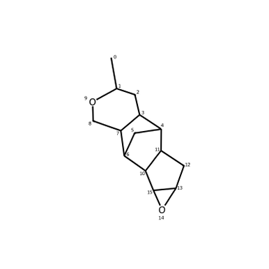 CC1CC2C3CC(C2CO1)C1C3CC2OC21